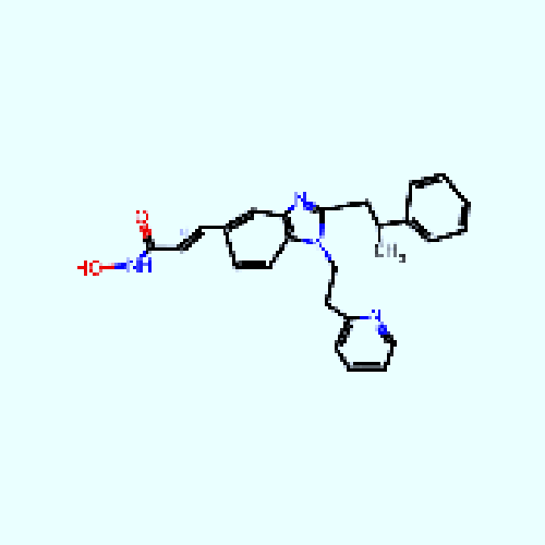 CC(Cc1nc2cc(/C=C/C(=O)NO)ccc2n1CCc1ccccn1)c1ccccc1